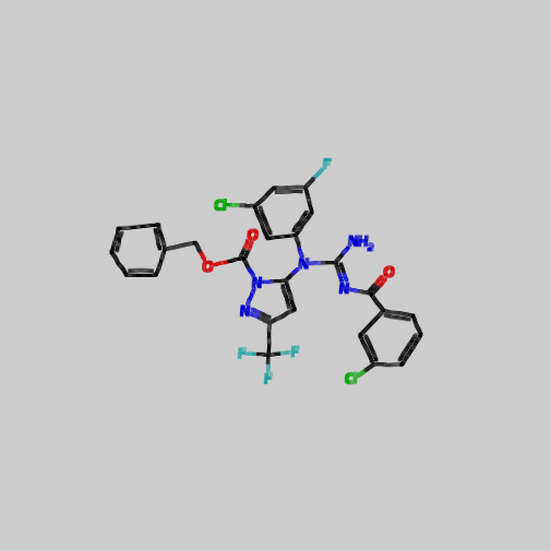 NC(=NC(=O)c1cccc(Cl)c1)N(c1cc(F)cc(Cl)c1)c1cc(C(F)(F)F)nn1C(=O)OCc1ccccc1